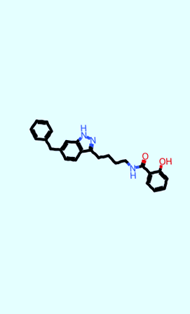 O=C(NCCCCc1n[nH]c2cc(Cc3ccccc3)ccc12)c1ccccc1O